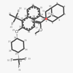 COC(=O)C1CC2CCCC(C1)N2Cc1cccc2c(C(C)(F)F)c(O[C@H]3CC[C@@H](C(F)(F)F)CC3)ccc12